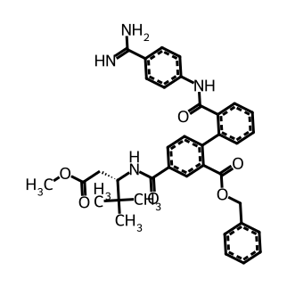 COC(=O)C[C@H](NC(=O)c1ccc(-c2ccccc2C(=O)Nc2ccc(C(=N)N)cc2)c(C(=O)OCc2ccccc2)c1)C(C)(C)C